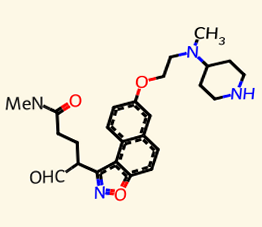 CNC(=O)CCC(C=O)c1noc2ccc3cc(OCCN(C)C4CCNCC4)ccc3c12